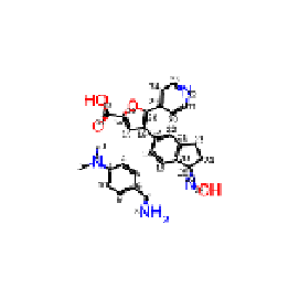 CN(C)c1ccc(CN)cc1.O=C(O)c1cc(-c2ccc3c(c2)CCC3=NO)c(-c2ccncc2)o1